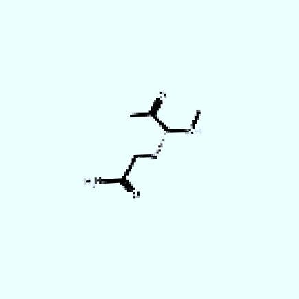 CN[C@H](CCC(N)=O)C(C)=O